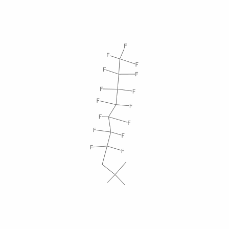 CC(C)(C)CC(F)(F)C(F)(F)C(F)(F)C(F)(F)C(F)(F)C(F)(F)C(F)(F)F